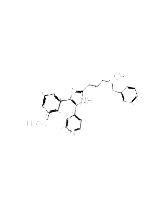 CSc1cccc(-c2nc(CCCN(C)Cc3ccccc3)[nH]c2-c2ccncc2)c1